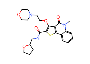 Cn1c(=O)c2c(OCCN3CCOCC3)c(C(=O)NCC3CCCO3)sc2c2ccccc21